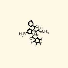 Bc1ccc(N(C(=O)c2ccccc2)C(=O)C(O)CC)c(NC(=O)c2c(F)c(F)c(F)c(F)c2F)c1